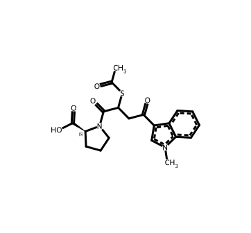 CC(=O)SC(CC(=O)c1cn(C)c2ccccc12)C(=O)N1CCC[C@H]1C(=O)O